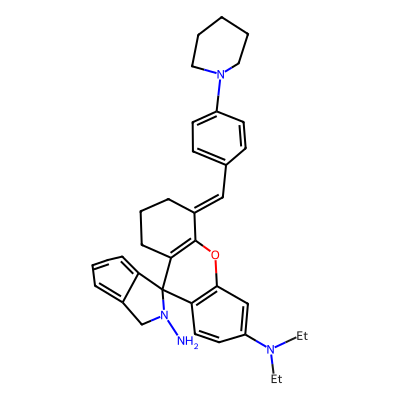 CCN(CC)c1ccc2c(c1)OC1=C(CCCC1=Cc1ccc(N3CCCCC3)cc1)C21c2ccccc2CN1N